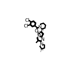 Cc1cn2nc([C@@H]3CCCCN3C(=O)c3ccc(Cl)c(Cl)c3)cc2nc1N1CC[C@H](C)C1